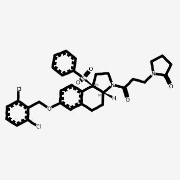 O=C1CCCN1CCC(=O)N1CC[C@@]2(S(=O)(=O)c3ccccc3)c3ccc(OCc4c(Cl)cccc4Cl)cc3CC[C@@H]12